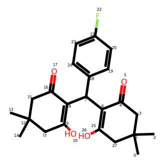 CC1(C)CC(=O)C(C(C2=C(O)CC(C)(C)CC2=O)c2ccc(F)cc2)=C(O)C1